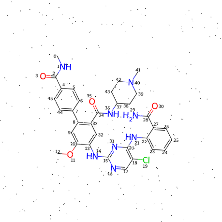 CNC(=O)c1ccc(-c2cc(OC)c(Nc3ncc(Cl)c(Nc4ccccc4C(N)=O)n3)cc2C(=O)NC2CCN(C)CC2)cc1